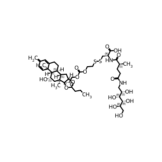 C=C1C=C[C@@]2(C)C(=C1)CC[C@@H]1[C@@H]2[C@@H](O)C[C@@]2(C)[C@H]1C[C@H]1OC(CCC)O[C@]12C(=O)COC(=O)OCCSSC[C@H](NC(=O)[C@@H](C)CCC(=O)NC[C@H](O)[C@@H](O)[C@H](O)[C@H](O)CO)C(=O)O